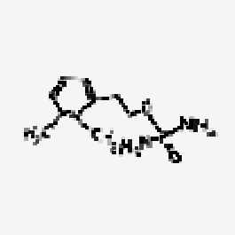 Cc1cccc(CCOP(N)(N)=O)c1C